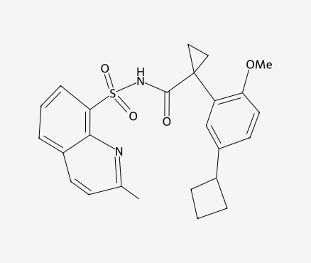 COc1ccc(C2CCC2)cc1C1(C(=O)NS(=O)(=O)c2cccc3ccc(C)nc23)CC1